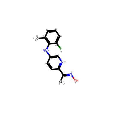 CC(=NO)c1ccc(Nc2c(F)cccc2C(F)(F)F)cn1